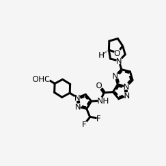 O=CC1CCC(n2cc(NC(=O)c3cnn4ccc(N5CC6CC[C@H](C5)O6)nc34)c(C(F)F)n2)CC1